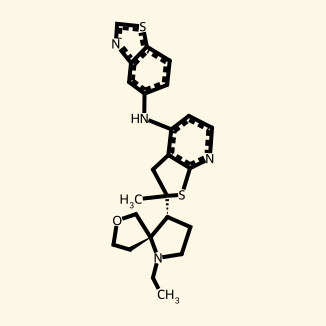 CCN1CC[C@@H](C2(C)Cc3c(Nc4ccc5scnc5c4)ccnc3S2)[C@]12CCOC2